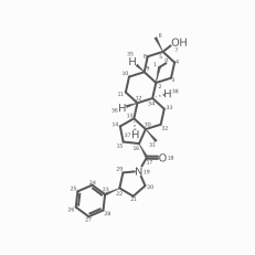 CC[C@]12CC[C@@](C)(O)C[C@H]1CC[C@H]1[C@@H]3CC[C@H](C(=O)N4CC[C@@H](c5ccccc5)C4)[C@@]3(C)CC[C@@H]12